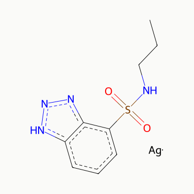 CCCNS(=O)(=O)c1cccc2[nH]nnc12.[Ag]